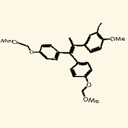 COCOc1ccc(C(=C(C)c2ccc(OC)c(C)c2)c2ccc(OCOC)cc2)cc1